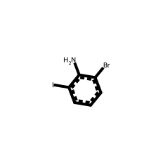 Nc1c(Br)cccc1I